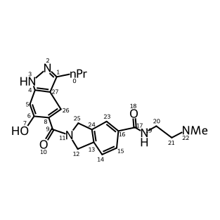 CCCc1n[nH]c2cc(O)c(C(=O)N3Cc4ccc(C(=O)NCCNC)cc4C3)cc12